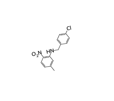 Cc1ccc([N+](=O)[O-])c(NCc2ccc(Cl)cc2)c1